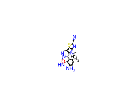 Cc1c(/C=N\N(C=O)Cc2cccc(N)c2C=N)c2sc(C#N)nc2n1C